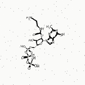 Cc1nc(S)c2ncn([C@@H]3O[C@H](COP(=O)(O)OP(=O)(O)OP(=O)(O)O)C(O)[C@@H]3OC(=O)NCCN)c2n1